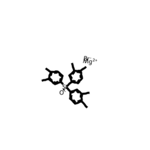 Cc1ccc([Si]([O-])(c2ccc(C)c(C)c2)c2ccc(C)c(C)c2)cc1C.[Br-].[Mg+2]